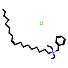 CCCCCCCC/C=C\CCCCCCCC[N+](CC)(CC)Cc1ccccc1.[Cl-]